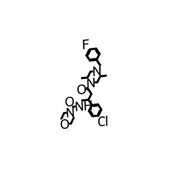 CC1CN(C(=O)CC(CNC(=O)N2CCOCC2)c2ccc(Cl)cc2)C(C)CN1Cc1ccc(F)cc1